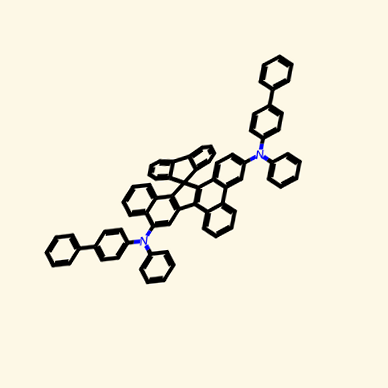 c1ccc(-c2ccc(N(c3ccccc3)c3ccc4c5c(c6ccccc6c4c3)-c3cc(N(c4ccccc4)c4ccc(-c6ccccc6)cc4)c4ccccc4c3C53c4ccccc4-c4ccccc43)cc2)cc1